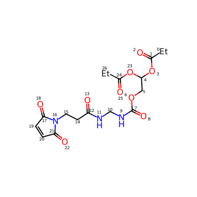 CCC(=O)OC(COC(=O)NCNC(=O)CCN1C(=O)C=CC1=O)OC(=O)CC